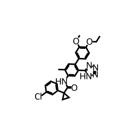 CCOc1ccc(-c2cc(C)c(NC(=O)C3(c4cccc(Cl)c4)CC3)cc2-c2nnn[nH]2)cc1OC